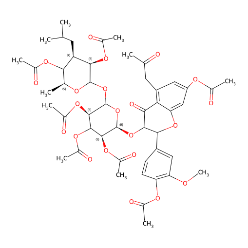 COc1cc(C2Oc3cc(OC(C)=O)cc(CC(C)=O)c3C(=O)C2O[C@@H]2OC(OC3O[C@@H](C)C(OC(C)=O)[C@@H](CC(C)C)[C@H]3OC(C)=O)[C@H](OC(C)=O)C(OC(C)=O)[C@@H]2OC(C)=O)ccc1OC(C)=O